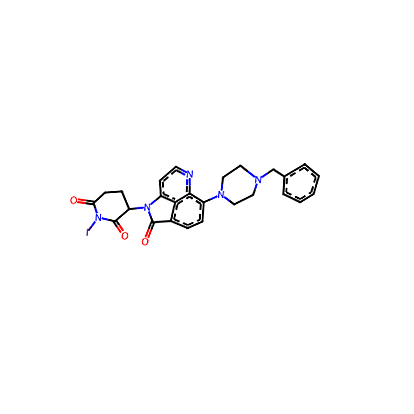 O=C1CCC(N2C(=O)c3ccc(N4CCN(Cc5ccccc5)CC4)c4nccc2c34)C(=O)N1I